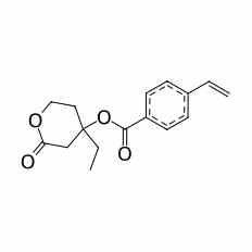 C=Cc1ccc(C(=O)OC2(CC)CCOC(=O)C2)cc1